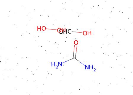 NC(N)=O.O=CO.OO